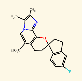 CCOC(=O)c1cn2c(C)c(C)nc2c2c1CCC1(CCc3cc(F)ccc31)O2